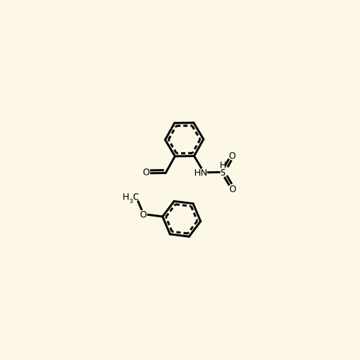 COc1ccccc1.O=Cc1ccccc1N[SH](=O)=O